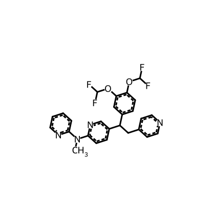 CN(c1ccccn1)c1ccc(C(Cc2ccncc2)c2ccc(OC(F)F)c(OC(F)F)c2)cn1